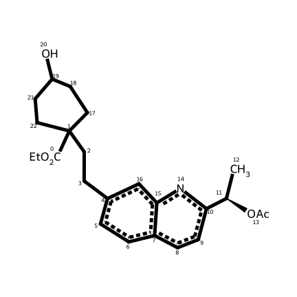 CCOC(=O)C1(CCc2ccc3ccc([C@@H](C)OC(C)=O)nc3c2)CCC(O)CC1